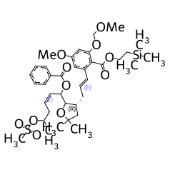 COCOc1cc(OC)cc(/C=C/C[C@@H]2CC(C)(C)OC2C(/C=C\CC(C)OS(C)(=O)=O)OC(=O)c2ccccc2)c1C(=O)OCC[Si](C)(C)C